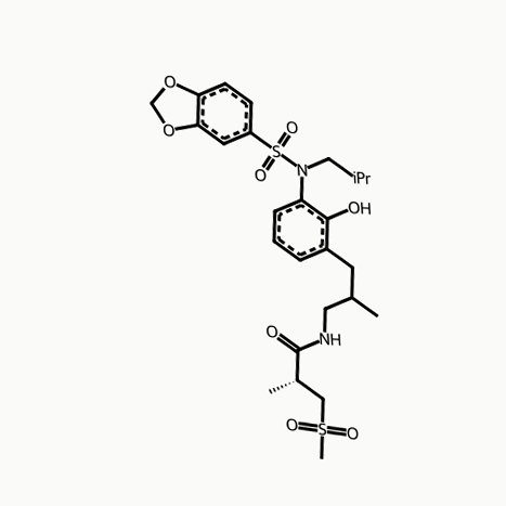 CC(C)CN(c1cccc(CC(C)CNC(=O)[C@@H](C)CS(C)(=O)=O)c1O)S(=O)(=O)c1ccc2c(c1)OCO2